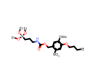 CCO[Si](CCCNC(=O)OCc1cc(OC)c(OCC[CH2][Rf])cc1[N+](=O)[O-])(OCC)OCC